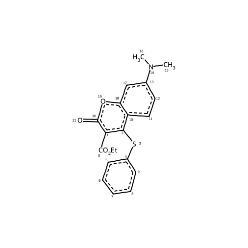 CCOC(=O)c1c(Sc2ccccc2)c2ccc(N(C)C)cc2oc1=O